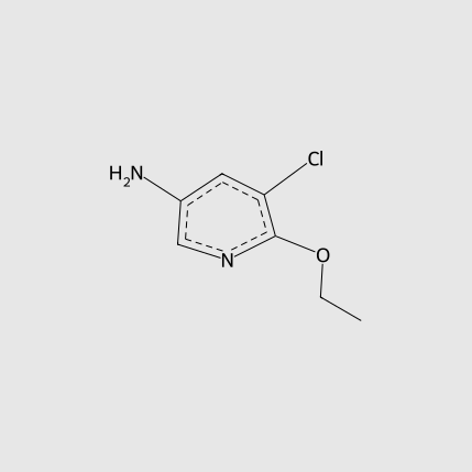 CCOc1ncc(N)cc1Cl